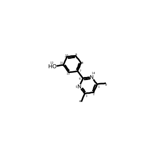 Cc1cc(C)nc(-c2cc[c]c(O)c2)n1